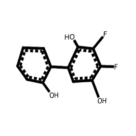 Oc1ccccc1-c1cc(O)c(F)c(F)c1O